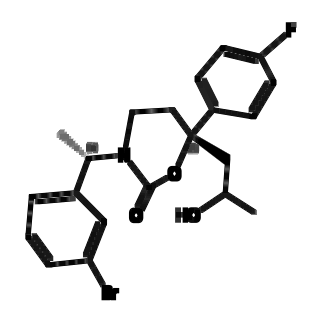 CC(O)C[C@]1(c2ccc(F)cc2)CCN([C@@H](C)c2cccc(Br)c2)C(=O)O1